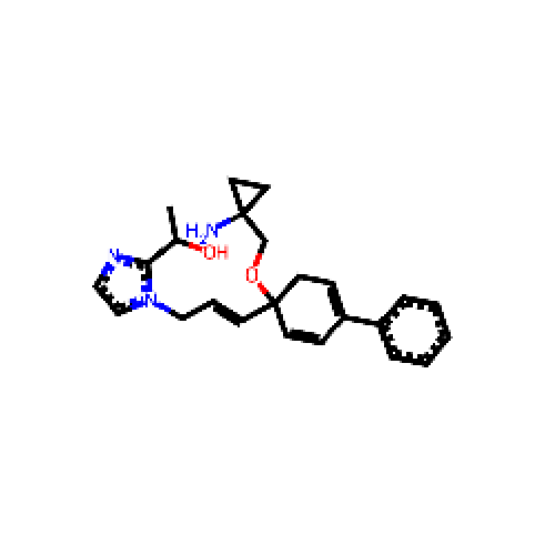 CC(O)c1nccn1C/C=C/C1(OCC2(N)CC2)C=CC(c2ccccc2)=CC1